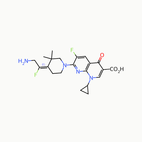 CC1(C)CN(c2nc3c(cc2F)c(=O)c(C(=O)O)cn3C2CC2)CC/C1=C(\F)CN